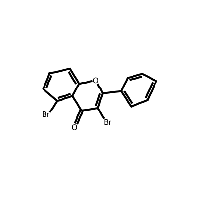 O=c1c(Br)c(-c2ccccc2)oc2cccc(Br)c12